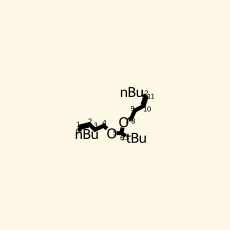 CCCC/C=C\CCOC(OCC/C=C\CCCC)C(C)(C)C